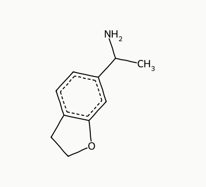 CC(N)c1ccc2c(c1)OCC2